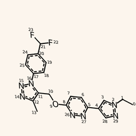 CCn1cc(-c2ccc(OCc3c(C)nnn3-c3ccc(C(F)F)cc3)nn2)cn1